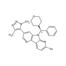 CC(=O)c1ccc2c3ncc(-c4c(C)nnn4C)cc3n([C@H](c3ccccc3)C3CCOCC3)c2n1